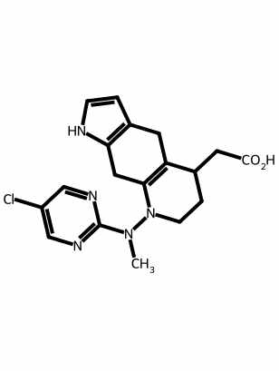 CN(c1ncc(Cl)cn1)N1CCC(CC(=O)O)C2=C1Cc1[nH]ccc1C2